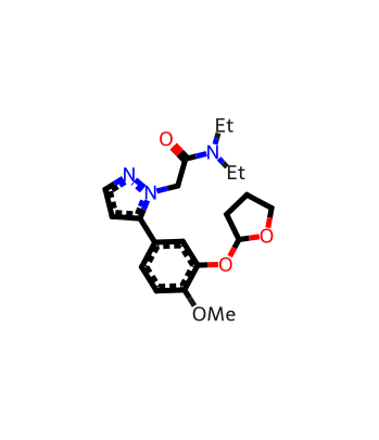 CCN(CC)C(=O)Cn1nccc1-c1ccc(OC)c(OC2CCCO2)c1